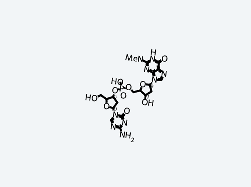 CNc1nc2c(ncn2[C@H]2C[C@@H](O)C(COP(=O)(O)O[C@@H]3C[C@H](n4cnc(N)nc4=O)OC3CO)O2)c(=O)[nH]1